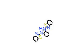 c1ccc(Nc2nc3ccccc3s2)c(Nc2nc3ccccc3s2)c1